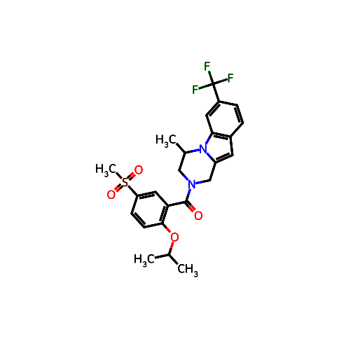 CC(C)Oc1ccc(S(C)(=O)=O)cc1C(=O)N1Cc2cc3ccc(C(F)(F)F)cc3n2C(C)C1